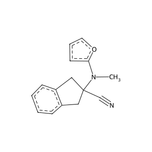 CN(c1ccco1)C1(C#N)Cc2ccccc2C1